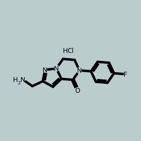 Cl.NCc1cc2n(n1)CCN(c1ccc(F)cc1)C2=O